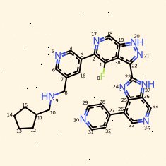 Fc1c(-c2cncc(CNCC3CCCC3)c2)ncc2[nH]nc(-c3nc4c(-c5ccncc5)cncc4[nH]3)c12